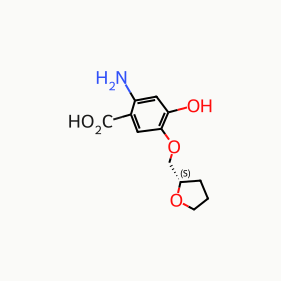 Nc1cc(O)c(OC[C@@H]2CCCO2)cc1C(=O)O